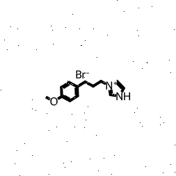 COc1ccc(CCC[n+]2cc[nH]c2)cc1.[Br-]